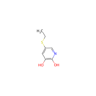 CCSc1cnc(O)c(O)c1